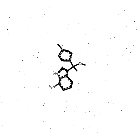 COC(C)(c1ccc(C)cc1)c1c[nH]c2c(N)cccc12